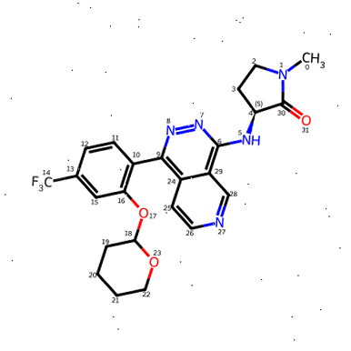 CN1CC[C@H](Nc2nnc(-c3ccc(C(F)(F)F)cc3OC3CCCCO3)c3ccncc23)C1=O